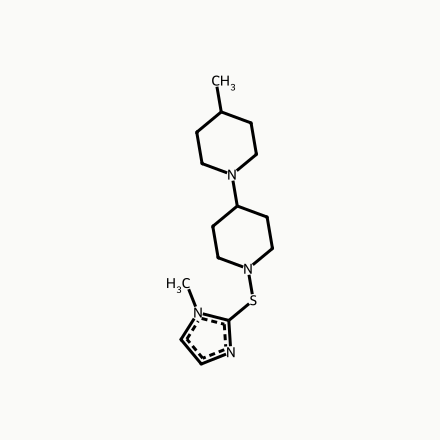 CC1CCN(C2CCN(Sc3nccn3C)CC2)CC1